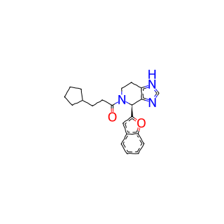 O=C(CCC1CCCC1)N1CCc2[nH]cnc2[C@H]1c1cc2ccccc2o1